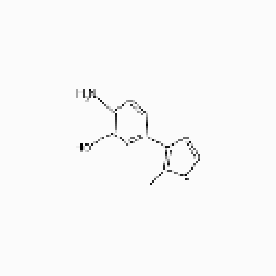 Cc1sccc1-c1ccc(N)c(O)c1